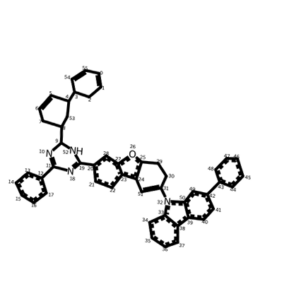 C1=CCC(C2C=CCC(C3N=C(c4ccccc4)N=C(c4ccc5c6c(oc5c4)CCC(n4c5ccccc5c5ccc(-c7ccccc7)cc54)=C6)N3)C2)C=C1